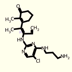 C=C/C(Nc1ncc(Cl)c(NCCCN)n1)=C(/C)C1=C(C)C(=O)CCC1